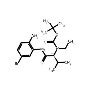 CCN(C(=O)OC(C)(C)C)[C@H](C(=O)Nc1cc(Br)ccc1N)C(C)C